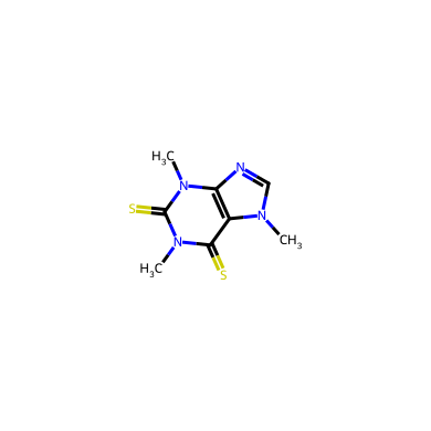 Cn1c(=S)c2c(ncn2C)n(C)c1=S